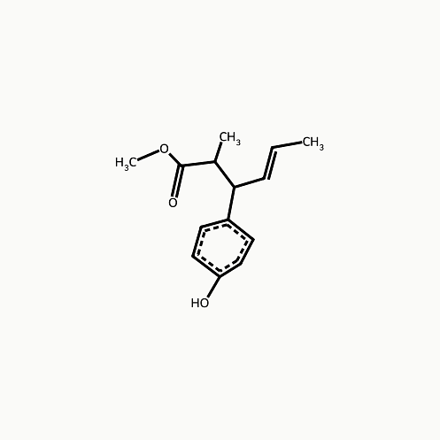 CC=CC(c1ccc(O)cc1)C(C)C(=O)OC